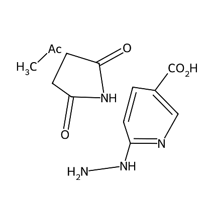 CC(C)=O.NNc1ccc(C(=O)O)cn1.O=C1CCC(=O)N1